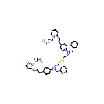 CC[N+]1=CC=CC1C/C=C/c1ccc(N(CCSSCCN(Cc2ccccc2)c2ccc(/C=C/c3cccc[n+]3CC)cc2)Cc2ccccc2)cc1